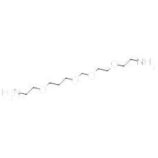 NCCOCCCOCOCCOCCN